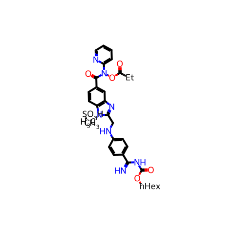 CCCCCCOC(=O)NC(=N)c1ccc(NCc2nc3cc(C(=O)N(OC(=O)CC)c4ccccn4)ccc3n2C)cc1.CS(=O)(=O)O